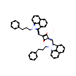 O=C1C(/C=c2\c3cccc4cccc(c43)n2CCCc2ccccc2)=C(O)C/1=C/C1=[N+](CCCc2ccccc2)c2cccc3cccc1c23